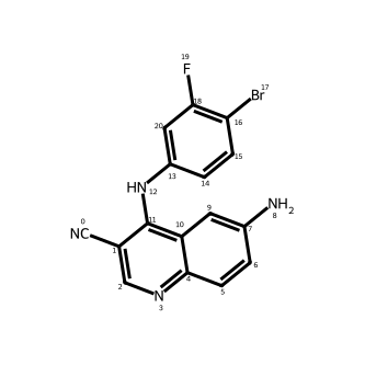 N#Cc1cnc2ccc(N)cc2c1Nc1ccc(Br)c(F)c1